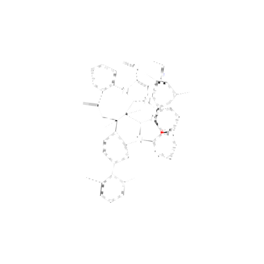 C=NC1=C(/N=C\C)N(c2ccccc2)C2N1c1ccccc1C(=C)CC1(C)c3ccc(-c4c(C)cccc4C)cc3N3c4nccnc4N(c4cc(C)cc(C)c4)C3C21C